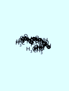 CC[C@@]1(O)C(=O)OCc2c1cc1n(c2=O)Cc2c-1nc1cc(F)c(C)cc1c2CN1CCN(S(=O)(=O)c2ccc(NC(=O)CNC(=O)[C@H](Cc3ccccc3)NC(=O)CNC(=O)CNC(=O)OC(C)(C)C)cc2)CC1